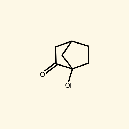 O=C1CC2CCC1(O)C2